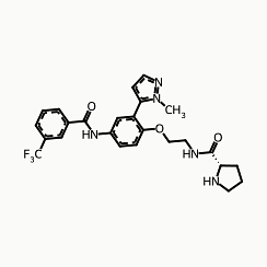 Cn1nccc1-c1cc(NC(=O)c2cccc(C(F)(F)F)c2)ccc1OCCNC(=O)[C@@H]1CCCN1